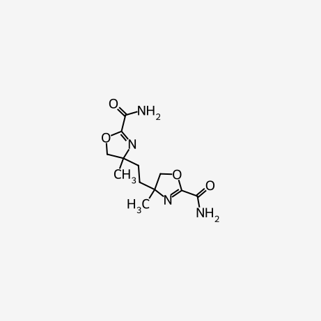 CC1(CCC2(C)COC(C(N)=O)=N2)COC(C(N)=O)=N1